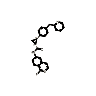 O=C(Nc1ccc2c(F)nccc2c1)[C@@H]1C[C@H]1c1ccc(Cc2ccccn2)cc1